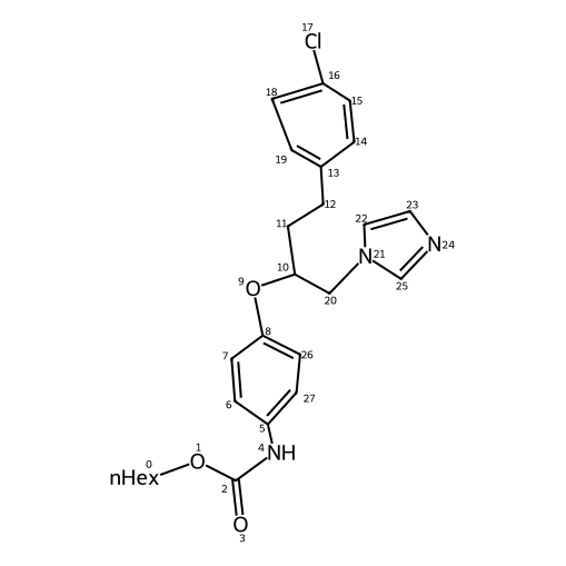 CCCCCCOC(=O)Nc1ccc(OC(CCc2ccc(Cl)cc2)Cn2ccnc2)cc1